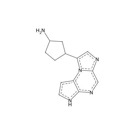 NC1CCC(c2cnc3cnc4[nH]ccc4n23)C1